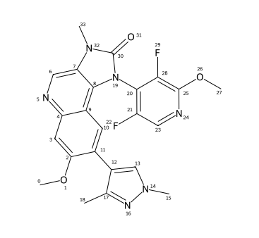 COc1cc2ncc3c(c2cc1-c1cn(C)nc1C)n(-c1c(F)cnc(OC)c1F)c(=O)n3C